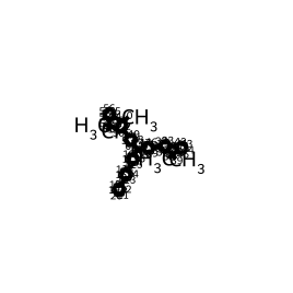 CC1C=C(c2ccc(N(c3ccc(-c4ccc(-c5ccccc5)cc4)cc3)c3ccc(-c4ccc5c(c4)C(C)(C)C4=C5C=CCC4)cc3)cc2)C=C2CC1c1ccccc1C2(C)C